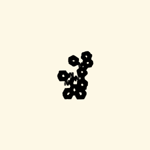 c1ccc(-n2c3cc4c(cc3c3ccc5ccccc5c32)c2ccccc2n4-c2nc3ccccc3nc2-c2cc3ccccc3c3ccccc23)cc1